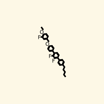 CCCCCc1ccc(-c2ccc(-c3ccc(OCc4ccc(OCC)c(F)c4)cc3)c(F)c2F)cc1